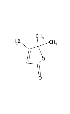 BC1=CC(=O)OC1(C)C